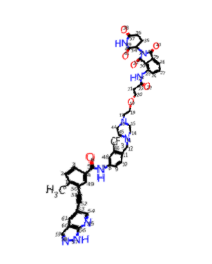 Cc1ccc(C(=O)Nc2ccc(CN3CCN(CCOCCC(=O)Nc4cccc5c4C(=O)N(C4CCC(=O)NC4=O)C5=O)CC3)c(C(F)(F)F)c2)cc1C#Cc1cnc2[nH]ncc2c1